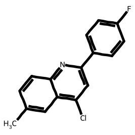 Cc1ccc2nc(-c3ccc(F)cc3)cc(Cl)c2c1